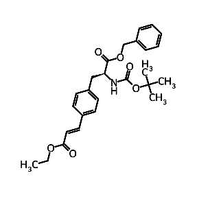 CCOC(=O)C=Cc1ccc(C[C@H](NC(=O)OC(C)(C)C)C(=O)OCc2ccccc2)cc1